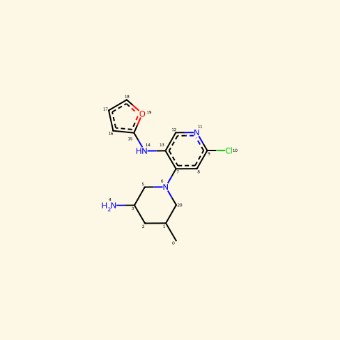 CC1CC(N)CN(c2cc(Cl)ncc2Nc2ccco2)C1